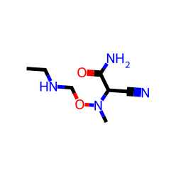 CCNCON(C)C(C#N)C(N)=O